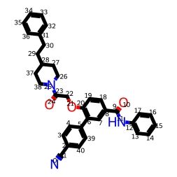 N#Cc1ccc(-c2cc(C(=O)Nc3ccccc3)ccc2OCC(=O)N2CCC(CCc3ccccc3)CC2)cc1